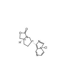 O=C1OC[C@@H]2CC[C@@H](C3=C4C=NC=C[N+]4(Cl)C=N3)CN12